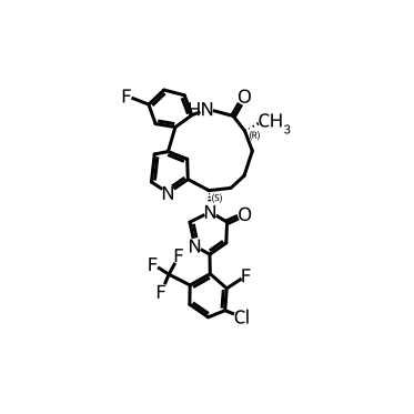 C[C@@H]1CCC[C@H](n2cnc(-c3c(C(F)(F)F)ccc(Cl)c3F)cc2=O)c2cc(ccn2)-c2cc(F)ccc2NC1=O